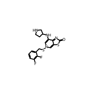 O=c1nc2c(NC3CCNC3)cn(SCc3cccc(F)c3F)cc-2s1